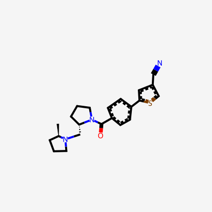 C[C@@H]1CCCN1C[C@@H]1CCCN1C(=O)c1ccc(-c2cc(C#N)cs2)cc1